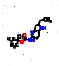 CCC1Cc2nc(NC(=O)OC(C)(C)C)ccc2N1